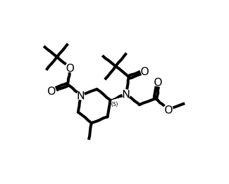 COC(=O)CN(C(=O)C(C)(C)C)[C@H]1CC(C)CN(C(=O)OC(C)(C)C)C1